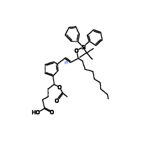 CCCCCCCCC(/C=C/c1cccc(C(CCCC(=O)O)OC(C)=O)c1)O[Si](c1ccccc1)(c1ccccc1)C(C)(C)C